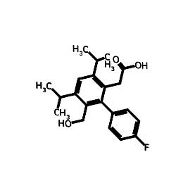 CC(C)c1cc(C(C)C)c(CC(=O)O)c(-c2ccc(F)cc2)c1CO